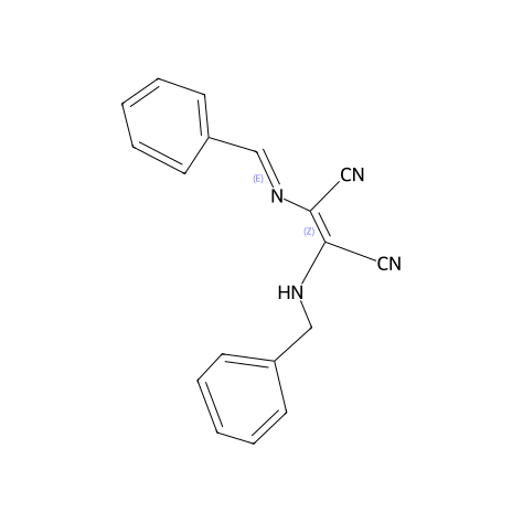 N#CC(/N=C/c1ccccc1)=C(\C#N)NCc1ccccc1